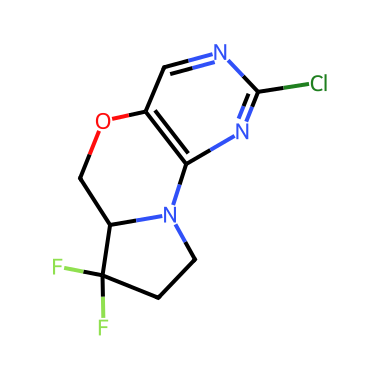 FC1(F)CCN2c3nc(Cl)ncc3OCC21